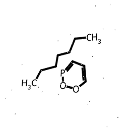 C1=COOP=C1.CCCCCCC